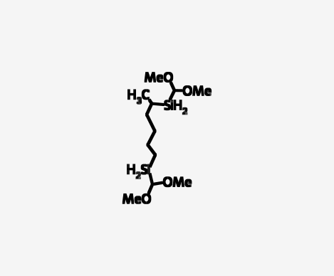 COC(OC)[SiH2]CCCCC(C)[SiH2]C(OC)OC